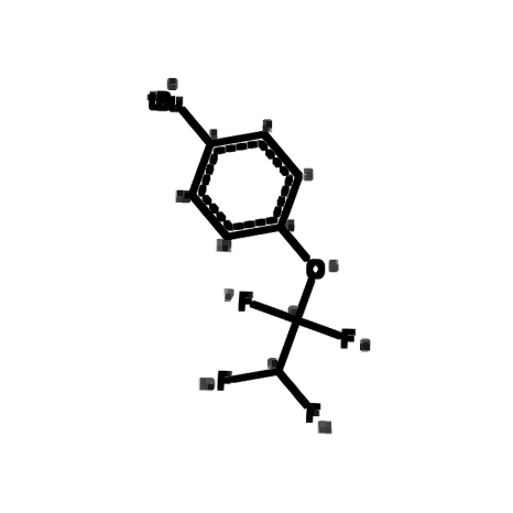 CC(C)(C)c1ccc(OC(F)(F)C(F)F)cc1